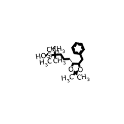 CC1(C)OC(Cc2ccccc2)[C@@H](CCCC(C)(C)[Si](C)(C)O)O1